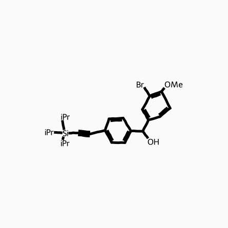 COc1ccc(C(O)c2ccc(C#C[Si](C(C)C)(C(C)C)C(C)C)cc2)cc1Br